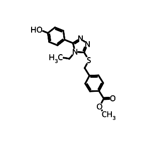 CCn1c(SCc2ccc(C(=O)OC)cc2)nnc1-c1ccc(O)cc1